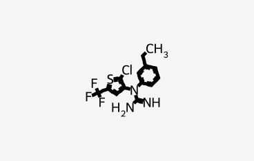 CCc1cccc(N(C(=N)N)c2cc(C(F)(F)F)sc2Cl)c1